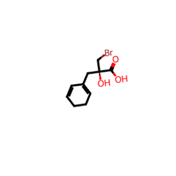 O=C(O)[C@@](O)(CBr)CC1=CCCC=C1